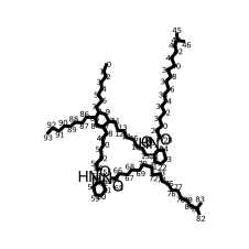 CCCCCCCCC1CC(CCCCCCC(=O)C[C@@H]2CCCC[C@@H]2NC(=O)CCCCCCCCCCCCCCCC(C)C)C(CCCCCCC(=O)N[C@H]2CCCC[C@H]2NC(=O)CCCCCCCCCCCCCCCC(C)C)CC1CCCCCCCC